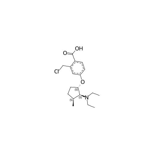 CCN(CC)[C@@H]1[C@@H](Oc2ccc(C(=O)O)c(CCl)c2)CC[C@@H]1C